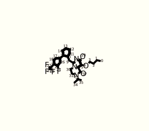 CCCCOc1c2n(c(Cc3ccccc3-c3ccc(C(F)(F)F)c(F)c3)nc1=O)CCN(C(C)C)C2=O